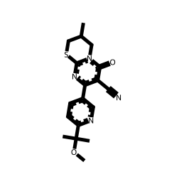 COC(C)(C)c1ccc(-c2nc3n(c(=O)c2C#N)CC(C)CS3)cn1